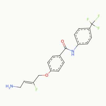 NC/C=C(\F)COc1ccc(C(=O)Nc2ccc(C(F)(F)F)cc2)cc1